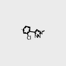 Cn1cc(-c2cc[c]cc2Cl)nn1